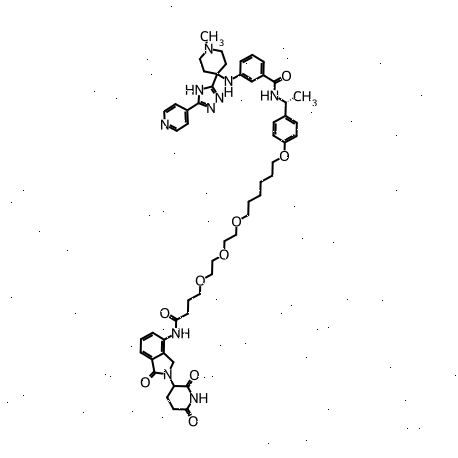 C[C@@H](NC(=O)c1cccc(NC2(c3nnc(-c4ccncc4)[nH]3)CCN(C)CC2)c1)c1ccc(OCCCCCCOCCOCCOCCCC(=O)Nc2cccc3c2CN(C2CCC(=O)NC2=O)C3=O)cc1